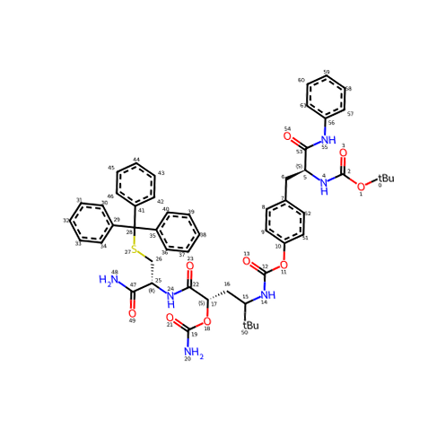 CC(C)(C)OC(=O)N[C@@H](Cc1ccc(OC(=O)NC(C[C@H](OC(N)=O)C(=O)N[C@@H](CSC(c2ccccc2)(c2ccccc2)c2ccccc2)C(N)=O)C(C)(C)C)cc1)C(=O)Nc1ccccc1